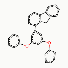 c1ccc(Oc2cc(Oc3ccccc3)cc(-c3cccc4c3Cc3ccccc3-4)c2)cc1